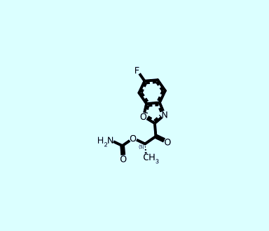 C[C@H](OC(N)=O)C(=O)c1nc2ccc(F)cc2o1